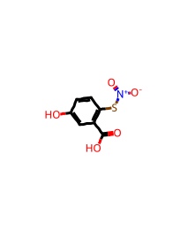 O=C(O)c1cc(O)ccc1S[N+](=O)[O-]